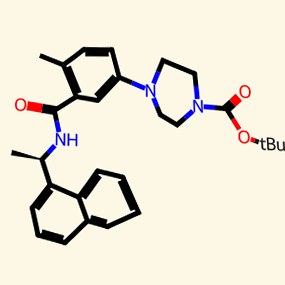 Cc1ccc(N2CCN(C(=O)OC(C)(C)C)CC2)cc1C(=O)N[C@H](C)c1cccc2ccccc12